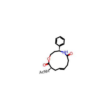 CC(=O)N[C@@H]1C/C=C/CCC(=O)N[C@H](c2ccccc2)CCOC1=O